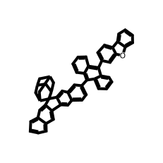 c1ccc2cc3c(cc2c1)-c1cc2ccc(-c4c5ccccc5c(-c5ccc6c(c5)oc5ccccc56)c5ccccc45)cc2cc1C31C2CC3CC(C2)CC1C3